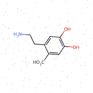 NCCc1cc(O)c(O)cc1C(=O)O